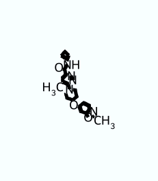 Cc1nc2ccc(OC3CCN(c4nnc(C(=O)NC5C6CC5C6)cc4C)CC3)cc2o1